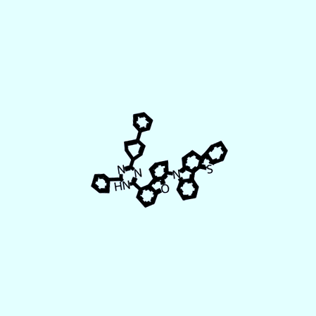 C1=CC(C2=NC(c3ccccc3)NC(c3cccc4oc5c(-n6c7ccccc7c7c8sc9ccccc9c8ccc76)cccc5c34)=N2)CC=C1c1ccccc1